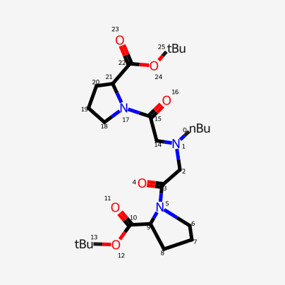 CCCCN(CC(=O)N1CCCC1C(=O)OC(C)(C)C)CC(=O)N1CCCC1C(=O)OC(C)(C)C